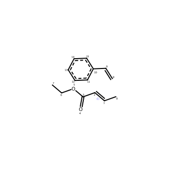 C/C=C/C(=O)OCC.C=Cc1ccccc1